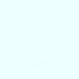 CC(C)Nc1ccc2ncc(C#Cc3cncc(C(=O)Nc4ccc(CN5CCN(C)CC5)c(C(F)(F)F)c4)c3)n2n1